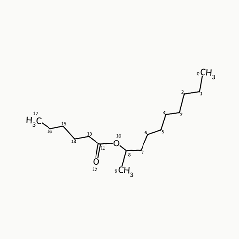 CCCCCCCCC(C)OC(=O)CCCCC